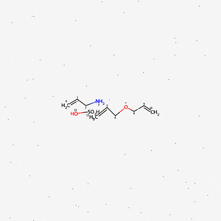 C=CCN.C=CCOCC=C.O=S(=O)(O)O